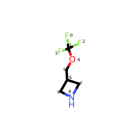 FC(F)(F)OCC1CNC1